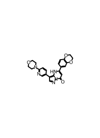 O=c1cc(-c2ccc3c(c2)OCCO3)[nH]c2c(-c3ccc(N4CCOCC4)nc3)cnn12